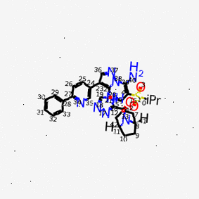 CC(C)S(=O)(=O)c1c([C@@H]2C[C@H]3CC[C@@H](C2)N3C(=O)c2nnc[nH]2)nc2c(-c3ccc(-c4ccccc4)nc3)cnn2c1N